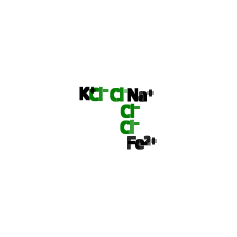 [Cl-].[Cl-].[Cl-].[Cl-].[Fe+2].[K+].[Na+]